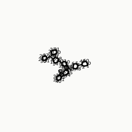 c1ccc(-c2ccc(-n3c4ccc(-c5ccc6c(c5)-c5ccccc5C6c5ccccc5)cc4c4c5sc6ccccc6c5ccc43)cc2)cc1